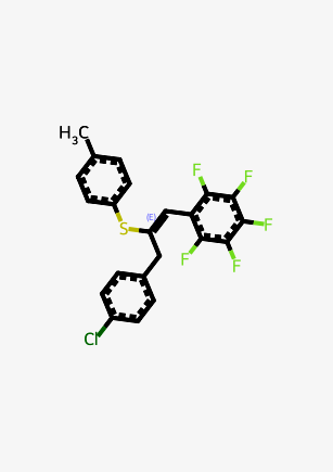 Cc1ccc(S/C(=C/c2c(F)c(F)c(F)c(F)c2F)Cc2ccc(Cl)cc2)cc1